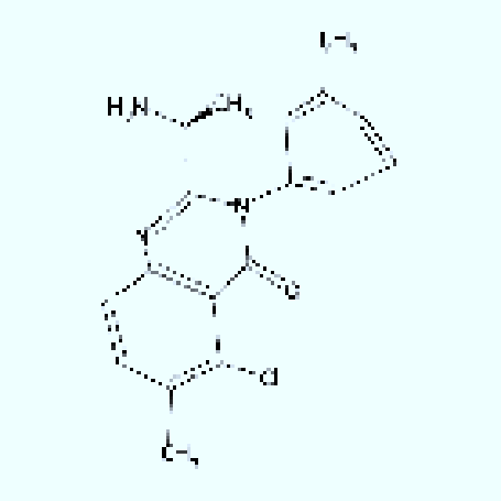 Cc1cccc(-n2c([C@H](C)N)nc3ccc(C)c(Cl)c3c2=O)c1